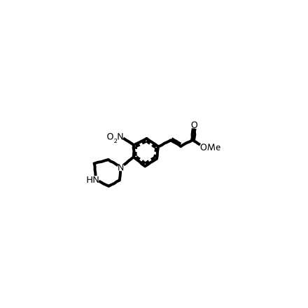 COC(=O)/C=C/c1ccc(N2CCNCC2)c([N+](=O)[O-])c1